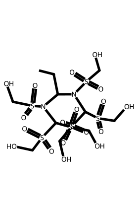 CCC(N(C(S(=O)(=O)CO)S(=O)(=O)CO)S(=O)(=O)CO)N(C(S(=O)(=O)CO)S(=O)(=O)CO)S(=O)(=O)CO